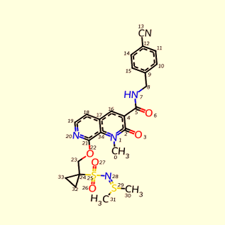 Cn1c(=O)c(C(=O)NCc2ccc(C#N)cc2)cc2ccnc(OCC3(S(=O)(=O)N=S(C)C)CC3)c21